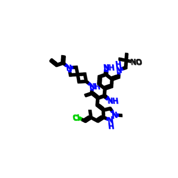 C=CC(=C)N1CC2(CC(N/C(C)=C(/C=C3\CN(C)N\C3=C\C(C)=C\Cl)C(=N)C3=C/C(=C/NCC(C)(C)N=O)C(=N)C=C3)C2)C1